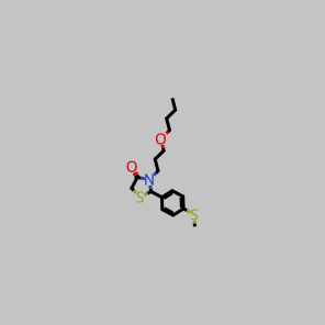 CCCCOCCCN1C(=O)CSC1c1ccc(SC)cc1